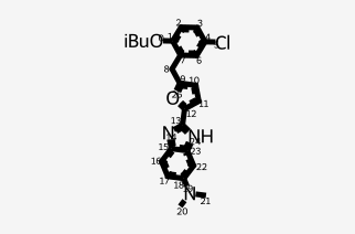 CC(C)COc1ccc(Cl)cc1Cc1ccc(-c2nc3ccc(N(C)C)cc3[nH]2)o1